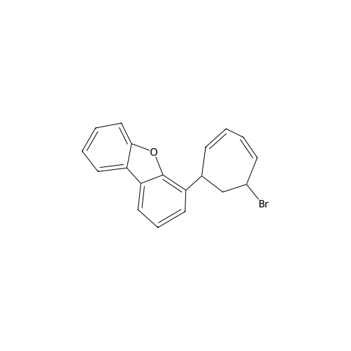 BrC1C=CC=CC(c2cccc3c2oc2ccccc23)C1